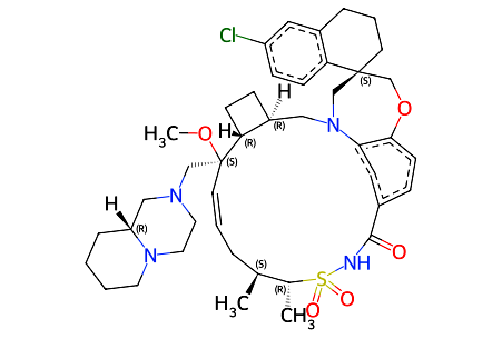 CO[C@]1(CN2CCN3CCCC[C@@H]3C2)C=CC[C@H](C)[C@@H](C)S(=O)(=O)NC(=O)c2ccc3c(c2)N(C[C@@H]2CC[C@H]21)C[C@@]1(CCCc2cc(Cl)ccc21)CO3